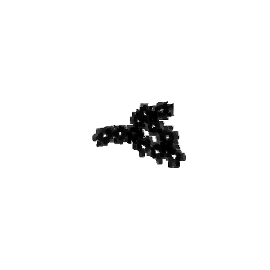 C1=CC2(c3ccc4c5ccccc5n(-c5cccc(-c6ccc7c8ccccc8n(-c8ccccc8)c7c6)c5)c4c3)CC2C(c2nc(-c3ccccc3)cc(-c3ccc(-c4ccccc4)cc3)n2)=C1